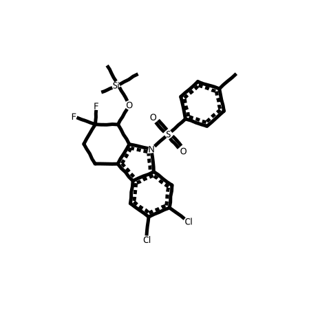 Cc1ccc(S(=O)(=O)n2c3c(c4cc(Cl)c(Cl)cc42)CCC(F)(F)C3O[Si](C)(C)C)cc1